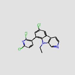 CCn1c2cnccc2c2cc(Cl)cc(-c3ccc(Cl)nc3Cl)c21